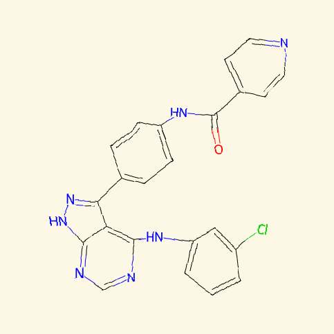 O=C(Nc1ccc(-c2n[nH]c3ncnc(Nc4cccc(Cl)c4)c23)cc1)c1ccncc1